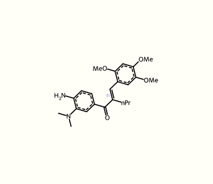 CCC/C(=C\c1cc(OC)c(OC)cc1OC)C(=O)c1ccc(N)c(N(C)C)c1